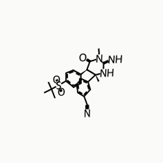 CN1C(=N)N[C@](C)(c2cccc(C#N)c2)[C@@H](c2ccc(S(=O)(=O)C(C)(C)C)cc2)C1=O